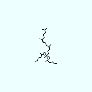 CCCCC(C)OC(C)(CCC=C(C)CCC=C(C)CCCC(C)C)OC(C)CCCC